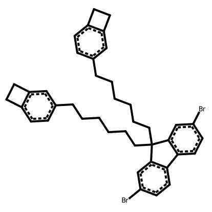 Brc1ccc2c(c1)C(CCCCCCc1ccc3c(c1)CC3)(CCCCCCc1ccc3c(c1)CC3)c1cc(Br)ccc1-2